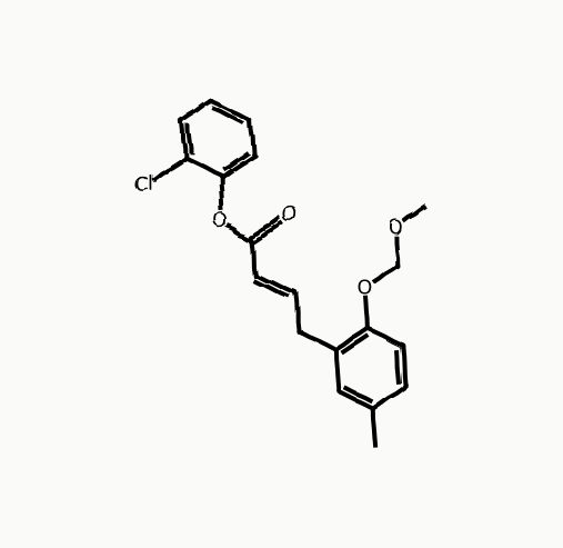 COCOc1ccc(C)cc1CC=CC(=O)Oc1ccccc1Cl